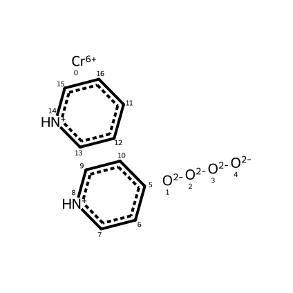 [Cr+6].[O-2].[O-2].[O-2].[O-2].c1cc[nH+]cc1.c1cc[nH+]cc1